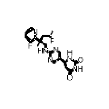 C[C@@H](F)C[C@](C)(CNc1ncc(-c2cc(=O)[nH]c(=O)[nH]2)cn1)c1ncccc1F